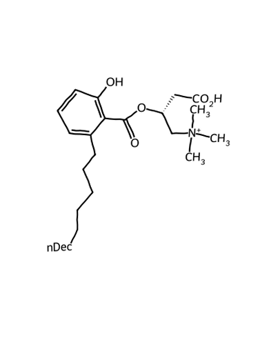 CCCCCCCCCCCCCCCc1cccc(O)c1C(=O)O[C@H](CC(=O)O)C[N+](C)(C)C